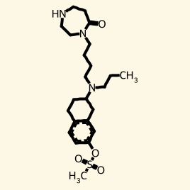 CCCN(CCCCN1CCNCCC1=O)C1CCc2ccc(OS(C)(=O)=O)cc2C1